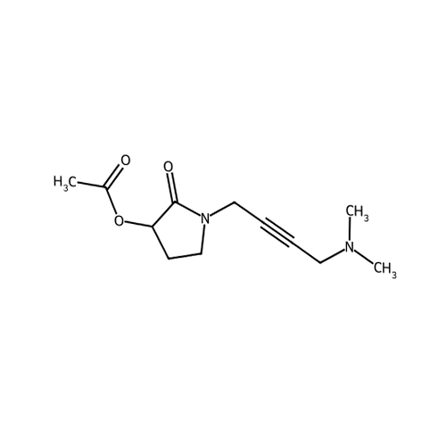 CC(=O)OC1CCN(CC#CCN(C)C)C1=O